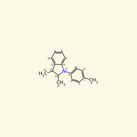 Cc1ccc(N2c3ccccc3C(C)C2C)cc1